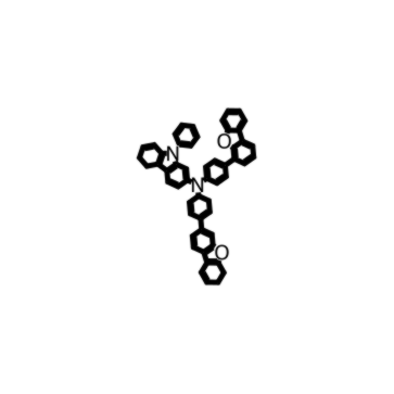 C1=Cc2c(oc3cc(C4=CCC(N(c5ccc(-c6cccc7c6oc6ccccc67)cc5)c5ccc6c7c(n(-c8ccccc8)c6c5)C=CCC7)C=C4)ccc23)CC1